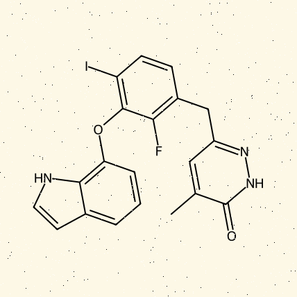 Cc1cc(Cc2ccc(I)c(Oc3cccc4cc[nH]c34)c2F)n[nH]c1=O